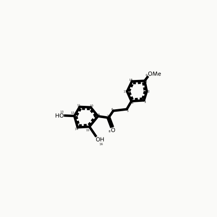 COc1ccc(CCC(=O)c2ccc(O)cc2O)cc1